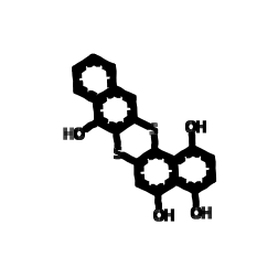 Oc1c2c(cc3ccccc13)Sc1c(cc(O)c3c(O)ccc(O)c13)S2